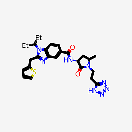 CCC(CC)n1c(Cc2cccs2)nc2cc(C(=O)N[C@H]3CC(C)N(CCc4nnn[nH]4)C3=O)ccc21